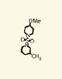 COC1CCN(S(=O)(=O)N2CCCC(C)C2)CC1